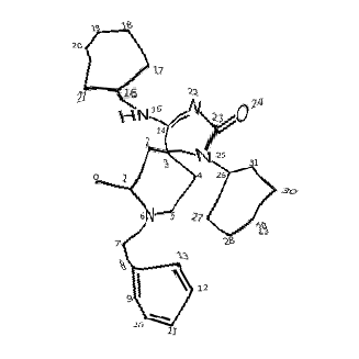 CC1CC2(CCN1Cc1ccccc1)C(NC1CCCCC1)=NC(=O)N2C1CCCCC1